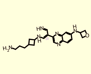 N=C/C(=C\NC1CC(CCCN)C1)c1cnc2ccc(NC3COC3)cc2n1